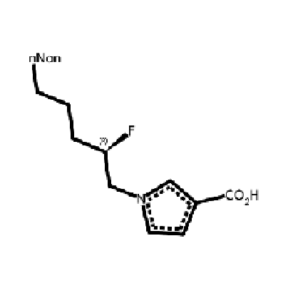 CCCCCCCCCCCC[C@@H](F)Cn1ccc(C(=O)O)c1